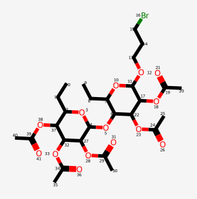 CCC1OC(OC2C(CC)OC(OCCCBr)C(OC(C)=O)C2OC(C)=O)C(OC(C)=O)C(OC(C)=O)C1OC(C)=O